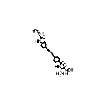 CCCNCC(=O)Nc1ccc(C#CC#Cc2ccc(C(=O)N[C@@H](CN)C(=O)NO)cc2)cc1